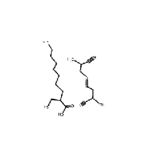 CC(C#N)CN=NCC(C)C#N.CCCCCCCCC(CS)C(=O)O